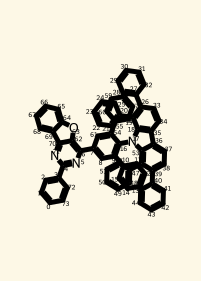 c1ccc(-c2nc(-c3cc(-c4ccccc4)c(-n4c5c(-c6ccccc6)c(-c6ccccc6)ccc5c5ccc(-c6ccccc6)c(-c6ccccc6)c54)c(-c4ccccc4)c3)c3oc4ccccc4c3n2)cc1